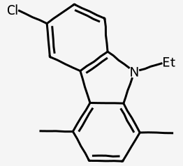 CCn1c2ccc(Cl)cc2c2c(C)ccc(C)c21